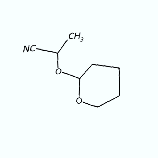 CC(C#N)OC1CCCCO1